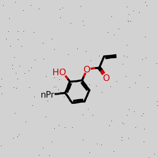 C=CC(=O)Oc1cccc(CCC)c1O